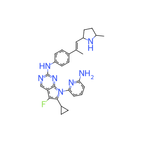 C/C(=C\C1CCC(C)N1)c1ccc(Nc2ncc3c(F)c(C4CC4)n(-c4cccc(N)n4)c3n2)cc1